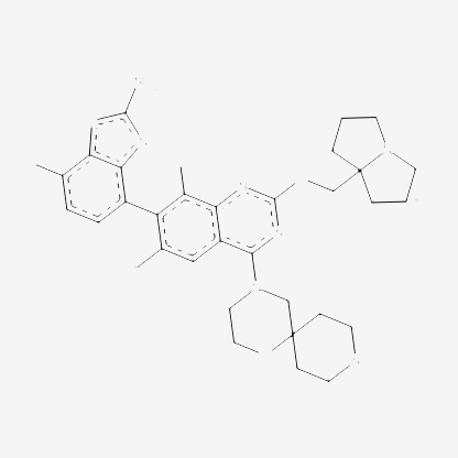 Nc1nc2c(-c3c(Cl)cc4c(N5CCOC6(CCNCC6)C5)nc(OCC56CCCN5C[C@H](F)C6)nc4c3F)ccc(F)c2s1